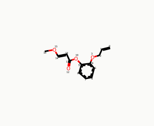 C=CCOc1ccccc1OC(=O)C=COC